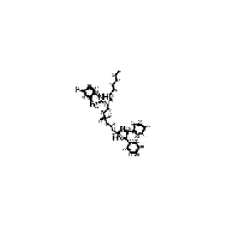 CCCCCCCN(CCC(C)(C)CCSc1nc(-c2ccccc2)c(-c2ccccc2)[nH]1)C(=O)Nc1ccc(F)cc1F